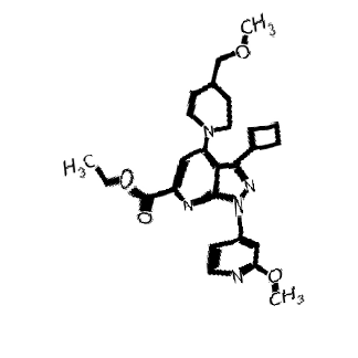 CCOC(=O)c1cc(N2CCC(COC)CC2)c2c(C3CCC3)nn(-c3ccnc(OC)c3)c2n1